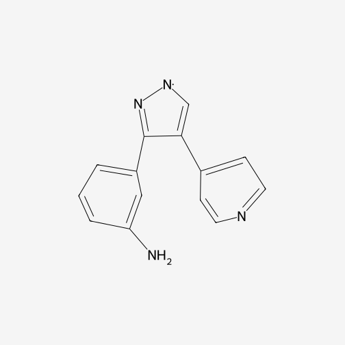 Nc1cccc(C2=N[N]C=C2c2ccncc2)c1